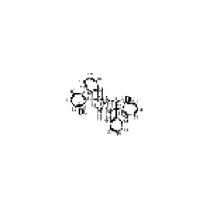 CC[C@H](C)[C@@H]1N[PH]2(N[C@@H]([C@@H](C)CC)C(c3ccccc3)(c3ccccc3)N2)NC1(c1ccccc1)c1ccccc1